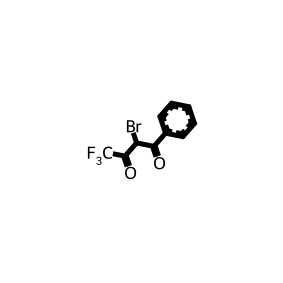 O=C(c1ccccc1)C(Br)C(=O)C(F)(F)F